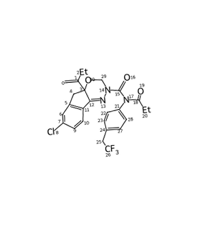 C=C(CC)C12Cc3cc(Cl)ccc3C1=NN(C(=O)N(C(=O)CC)c1ccc(CC(F)(F)F)cc1)CO2